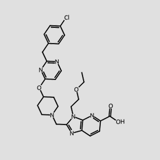 CCOCCn1c(CN2CCC(Oc3ccnc(Cc4ccc(Cl)cc4)n3)CC2)nc2ccc(C(=O)O)nc21